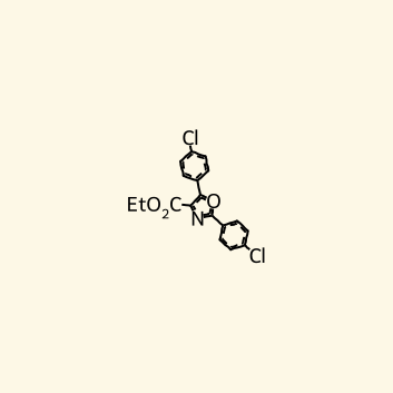 CCOC(=O)c1nc(-c2ccc(Cl)cc2)oc1-c1ccc(Cl)cc1